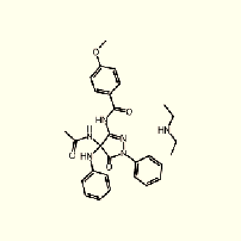 CCNCC.COc1ccc(C(=O)NC2=NN(c3ccccc3)C(=O)C2(NC(C)=O)Nc2ccccc2)cc1